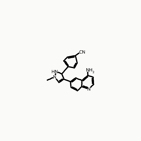 CN1C=C(c2ccc3nccc(N)c3c2)C(c2ccc(C#N)cc2)N1